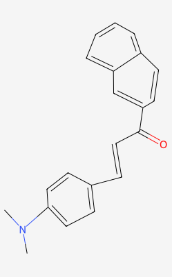 CN(C)c1ccc(/C=C/C(=O)c2ccc3ccccc3c2)cc1